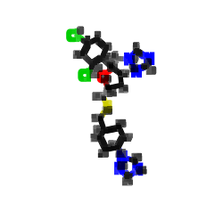 Clc1ccc([C@@]2(Cn3cncn3)CC[C@H](CSCc3ccc(-n4cncn4)cc3)O2)c(Cl)c1